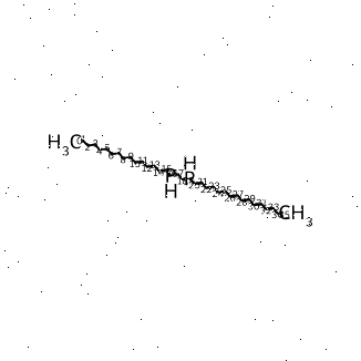 CCCCCCCCCCCCCCCCPCCPCCCCCCCCCCCCCCCC